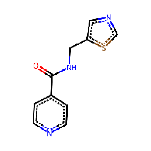 O=C(NCc1cncs1)c1ccncc1